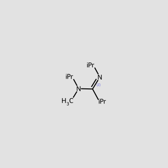 CC(C)/N=C(/C(C)C)N(C)C(C)C